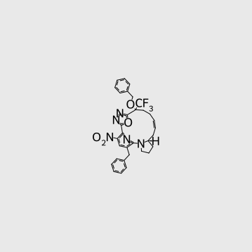 O=[N+]([O-])c1cc(Cc2ccccc2)c2nc1-c1nnc(o1)C(OCc1ccccc1)(C(F)(F)F)CCC=CC[C@@H]1CCCN21